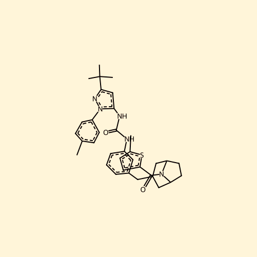 Cc1ccc(-n2nc(C(C)(C)C)cc2NC(=O)Nc2cccc(CC3CC4CCC(C3)N4C(=O)c3ccc(C)s3)c2)cc1